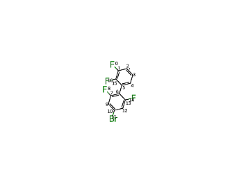 Fc1[c]ccc(-c2c(F)cc(Br)cc2F)c1F